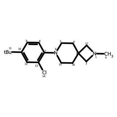 CN1CC2(CCN(c3ccc(C(C)(C)C)cc3Cl)CC2)C1